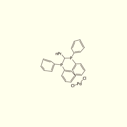 CCCC(P(c1ccccc1)c1ccccc1)P(c1ccccc1)c1ccccc1.[Cl][Pd][Cl]